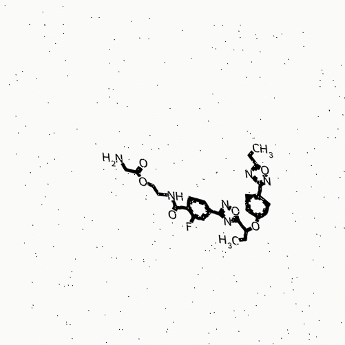 CCc1nc(-c2ccc(OC(CC)c3nc(-c4ccc(C(=O)NCCOC(=O)CN)c(F)c4)no3)cc2)no1